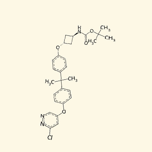 CC(C)(C)OC(=O)N[C@H]1C[C@H](Oc2ccc(C(C)(C)c3ccc(Oc4cnnc(Cl)c4)cc3)cc2)C1